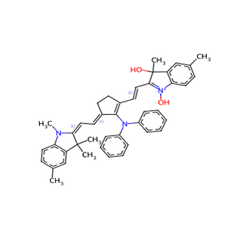 Cc1ccc2c(c1)C(C)(O)C(/C=C/C1=C(N(c3ccccc3)c3ccccc3)C(=C/C=C3/N(C)c4ccc(C)cc4C3(C)C)/CC1)=[N+]2O